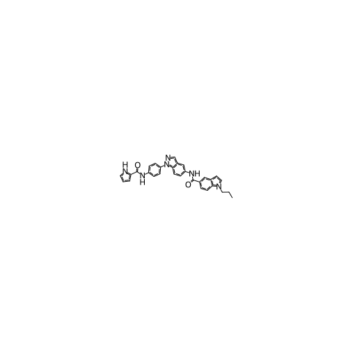 CCCn1ccc2cc(C(=O)Nc3ccc4c(cnn4-c4ccc(NC(=O)c5ccc[nH]5)cc4)c3)ccc21